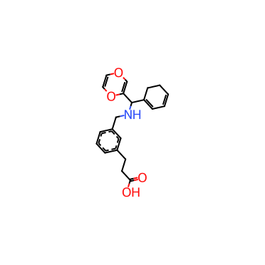 O=C(O)CCc1cccc(CNC(C2=CC=CCC2)C2=COC=CO2)c1